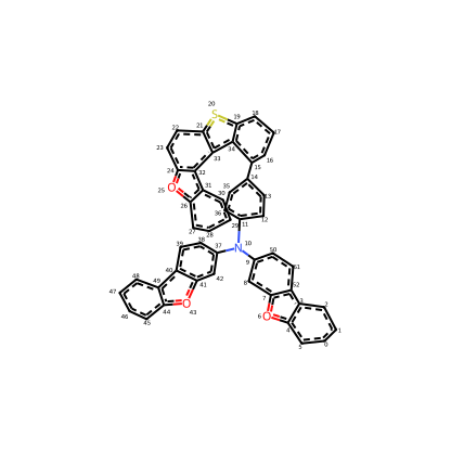 c1ccc2c(c1)oc1cc(N(c3ccc(-c4cccc5sc6ccc7oc8ccccc8c7c6c45)cc3)c3ccc4c(c3)oc3ccccc34)ccc12